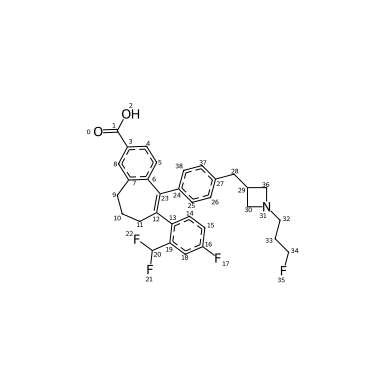 O=C(O)c1ccc2c(c1)CCCC(c1ccc(F)cc1C(F)F)=C2c1ccc(CC2CN(CCCF)C2)cc1